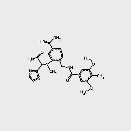 COc1cc(C(=O)NCc2ccc(C(=N)N)cc2N(C)C(C(N)=O)c2nccs2)cc(OC)c1C